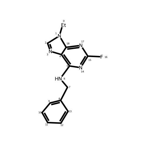 CCn1cnc2c(NCc3ccccc3)nc(F)nc21